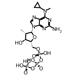 C[C@H]1[C@H](O)[C@@H](COP(=O)(O)OP(=O)(O)OP(=O)(O)O)O[C@H]1n1cnc2c(N(C)C3CC3)nc(N)nc21